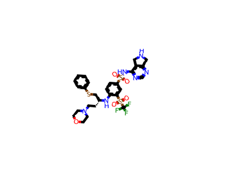 O=S(=O)(Nc1ncnc2c1CNC2)c1ccc(N[C@H](CCN2CCOCC2)CSc2ccccc2)c(S(=O)(=O)C(F)(F)F)c1